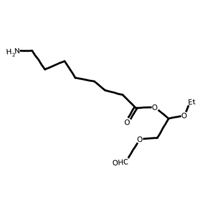 CCOC(COC=O)OC(=O)CCCCCCCN